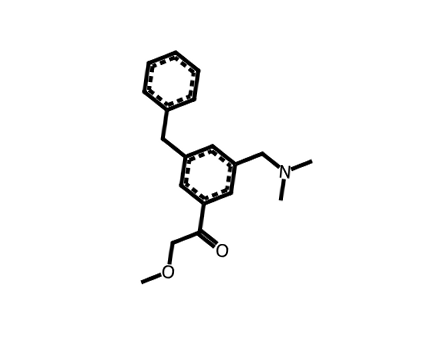 COCC(=O)c1cc(Cc2ccccc2)cc(CN(C)C)c1